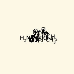 CC(C)(C)n1ccc(C(=O)NCc2nc(-c3cc4c(N)cccc4n3C(F)C(F)F)no2)c1